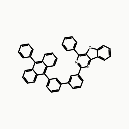 c1ccc(-c2c3ccccc3c(-c3cccc(-c4cccc(-c5nc(-c6ccccc6)c6oc7ccccc7c6n5)c4)c3)c3ccccc23)cc1